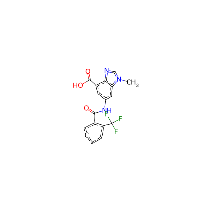 Cn1cnc2c(C(=O)O)cc(NC(=O)c3ccccc3C(F)(F)F)cc21